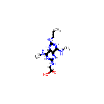 CCCNc1nc(NC)c2nc(NCC(=O)O)nc(NC)c2n1